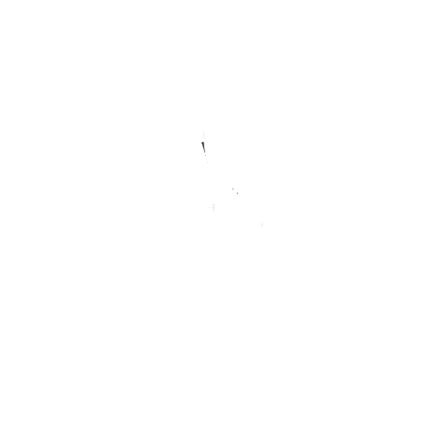 C=CCSC(=O)N1CCC[C@H]2CCCC[C@@H]21